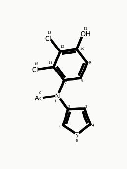 CC(=O)N(c1ccsc1)c1ccc(O)c(Cl)c1Cl